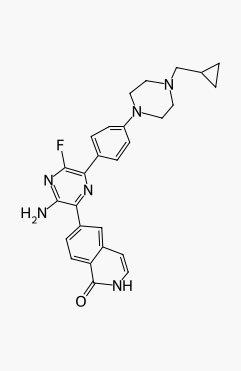 Nc1nc(F)c(-c2ccc(N3CCN(CC4CC4)CC3)cc2)nc1-c1ccc2c(=O)[nH]ccc2c1